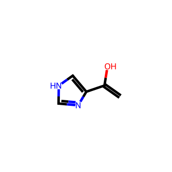 C=C(O)c1c[nH]cn1